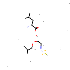 CC(C)C[C@H](N)C(=O)OC[C@H](CNS(C)(=O)=O)O[C@@H](C)C(C)C